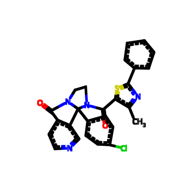 Cc1nc(-c2ccccc2)sc1C(=O)N1CCN2C(=O)c3ccncc3C21c1ccc(Cl)cc1